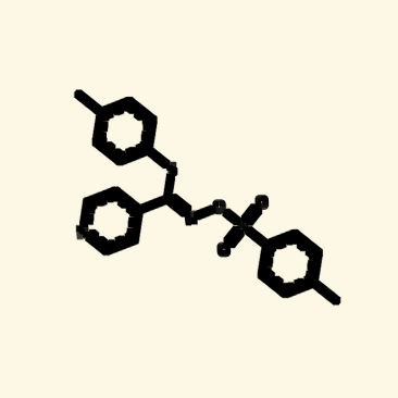 Cc1ccc(S/C(=N\OS(=O)(=O)c2ccc(C)cc2)c2ccncc2)cc1